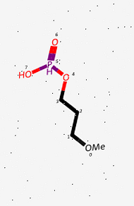 COCCCO[PH](=O)O